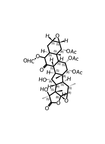 CC(=O)O[C@H]1[C@H]2[C@@H](C(=O)C(OC=O)[C@H]3C[C@@H]4O[C@@H]4[C@H](OC(C)=O)[C@]23C)[C@@H]2[C@@H](O)[C@@H]3[C@H]([C@H](C)[C@H]4O[C@]45OC(=O)[C@@](C)(O)[C@]35C)[C@@]2(C)[C@H]1OC(C)=O